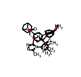 COC(=O)c1ccc(N2CC3CC(C2)N3C(=O)C[C@@H]2N=C(c3ccc(Cl)cc3)c3c(sc(C)c3C)-n3c(C)nnc32)cc1C#CCN